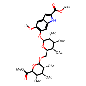 CCCCOC(=O)c1cc2cc(OCC)c(O[C@@H]3O[C@H](CO[C@@H]4OC(C(=O)OC)[C@@H](OC(C)=O)[C@H](OC(C)=O)[C@H]4OC(C)=O)[C@H](OC(C)=O)[C@H](OC(C)=O)[C@H]3OC(C)=O)cc2[nH]1